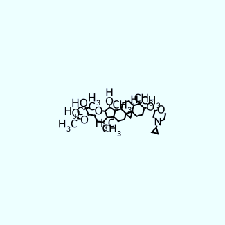 CC(=O)OC(C1C[C@@H](C)C2C(O1)[C@H](O)[C@@]1(C)C3CC[C@H]4C(C)(C)C(OC5CN(C6CC6)CCO5)CCC45CC35CCC21C)C(C)(C)O